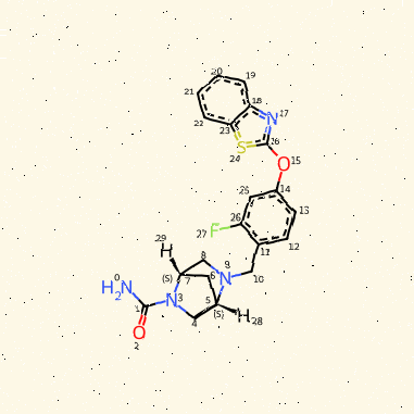 NC(=O)N1C[C@@H]2C[C@H]1CN2Cc1ccc(Oc2nc3ccccc3s2)cc1F